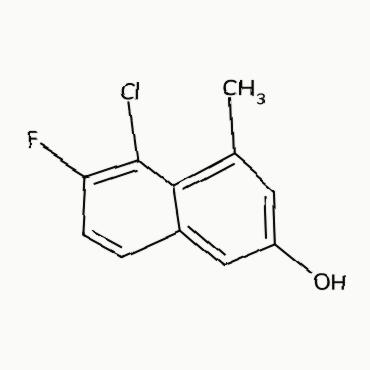 Cc1cc(O)cc2ccc(F)c(Cl)c12